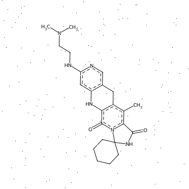 Cc1c2c(c(=O)n3c1C(=O)NC31CCCCC1)Nc1cc(NCCN(C)C)ncc1C2